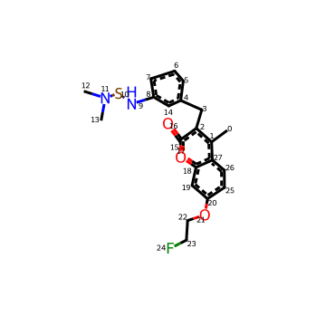 Cc1c(Cc2cccc(NSN(C)C)c2)c(=O)oc2cc(OCCF)ccc12